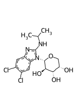 CC(C)Nc1nc2cc(Cl)c(Cl)cc2n1[C@@H]1OC[C@H](O)[C@H](O)[C@H]1O